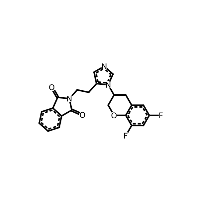 O=C1c2ccccc2C(=O)N1CCc1cncn1C1COc2c(F)cc(F)cc2C1